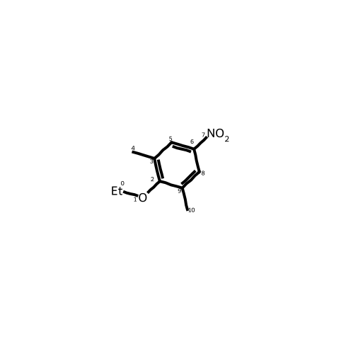 CCOc1c(C)cc([N+](=O)[O-])cc1C